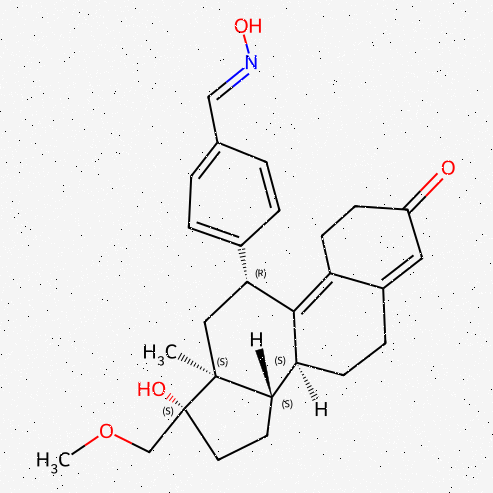 COC[C@]1(O)CC[C@H]2[C@@H]3CCC4=CC(=O)CCC4=C3[C@@H](c3ccc(C=NO)cc3)C[C@@]21C